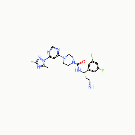 Cc1nc(C)n(-c2cc(N3CCN(C(=O)N[C@@H](CC=N)c4cc(F)cc(F)c4)CC3)ncn2)n1